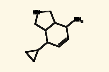 NC1C=CC(C2CC2)C2CNCC12